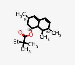 CCC(C)(C)C(=O)O[C@H]1C[C@@H](C)C=C2C=C[C@@H](C)C(C)C21